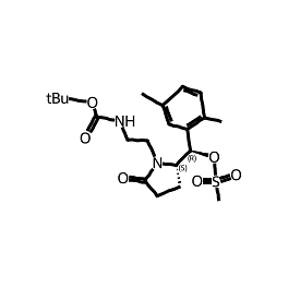 Cc1ccc(C)c([C@@H](OS(C)(=O)=O)[C@@H]2CCC(=O)N2CCNC(=O)OC(C)(C)C)c1